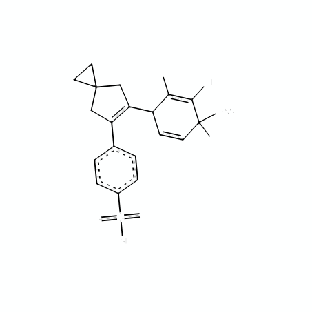 COC1(Cl)C=CC(C2=C(c3ccc(S(N)(=O)=O)cc3)CC3(CC3)C2)C(Cl)=C1Cl